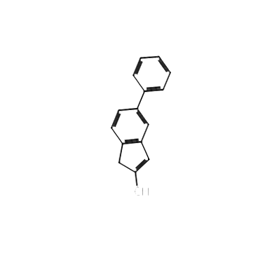 CC1=Cc2cc(-c3ccccc3)ccc2C1